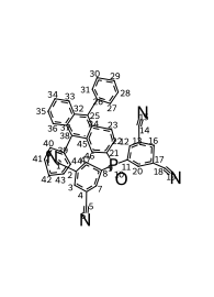 N#Cc1cc(C#N)cc(P(=O)(c2cc(C#N)cc(C#N)c2)c2ccc3c(-c4ccccc4)c4ccccc4c(-c4ccccc4)c3c2)c1